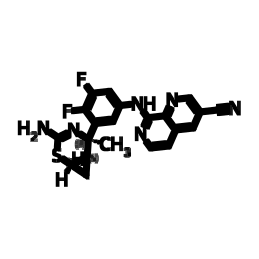 C[C@@]1(c2cc(Nc3nccc4cc(C#N)cnc34)cc(F)c2F)N=C(N)S[C@H]2C[C@H]21